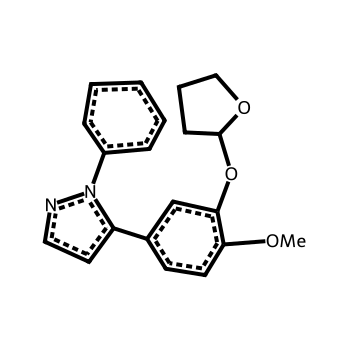 COc1ccc(-c2ccnn2-c2ccccc2)cc1OC1CCCO1